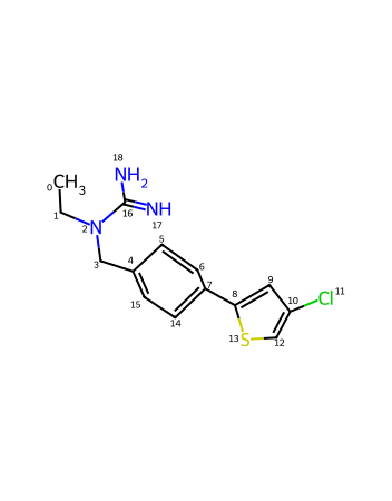 CCN(Cc1ccc(-c2cc(Cl)cs2)cc1)C(=N)N